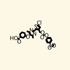 Cc1nc(-c2sc(Cl)cc2COC(=O)Oc2ccc([N+](=O)[O-])cc2)nc(C)c1O[C@H]1CCC[C@H](C(=O)O)C1